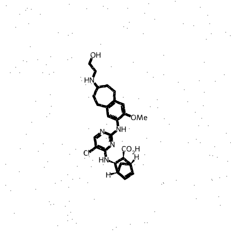 COc1cc2c(cc1Nc1ncc(Cl)c(N[C@H]3[C@@H](C(=O)O)[C@@H]4C=C[C@H]3C4)n1)CCC(NCCO)CC2